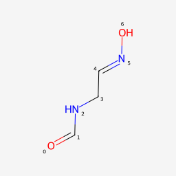 O=CNCC=NO